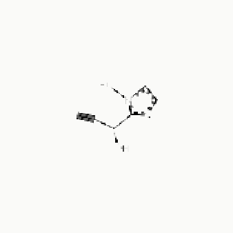 C#C[C@H](O)c1nccn1CC